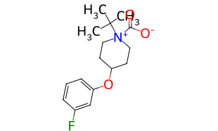 CC(C)(C)[N+]1(C(=O)[O-])CCC(Oc2cccc(F)c2)CC1